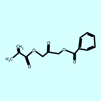 C=C(C)C(=O)OCC(=O)COC(=O)c1ccccc1